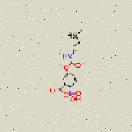 C[SiH](C)CCCNC(=O)Oc1ccc2c(c1)C(=O)OI2(=O)O